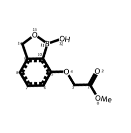 COC(=O)COc1cccc2c1B(O)OC2